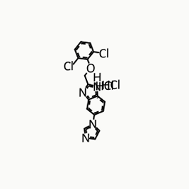 Cl.Cl.Clc1cccc(Cl)c1OCc1nc2cc(-n3ccnc3)ccc2[nH]1